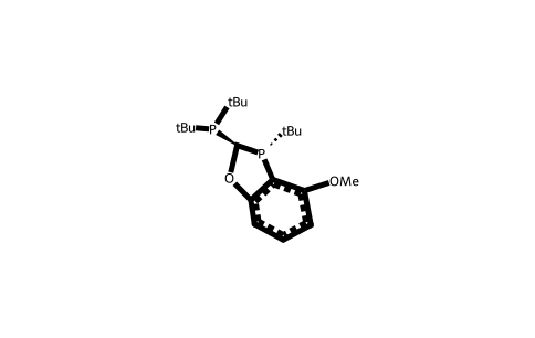 COc1cccc2c1[P@@](C(C)(C)C)[C@H](P(C(C)(C)C)C(C)(C)C)O2